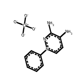 Nc1cc[n+](-c2ccccc2)nc1N.[O-][Cl+3]([O-])([O-])[O-]